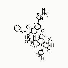 CC[C@@H]1C[C@]1(NC(=O)[C@@H]1C[C@@H](Oc2cc(-c3csc(NC(C)C)n3)nc3c(Cl)c(OCCN4CCCCC4)ccc23)CN1C(=O)[C@@H](NC(=O)O[C@@H]1C[C@@H]2C[C@@H]2C1)C(C)(C)C)C(=O)O